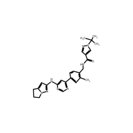 Cc1cc(-c2cc(Nc3cc4n(n3)CCC4)ncn2)ccc1CNC(=O)c1cnn(C(C)(C)C)c1